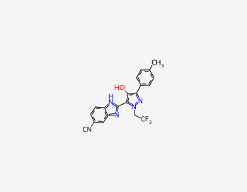 [C-]#[N+]c1ccc2[nH]c(-c3c(O)c(-c4ccc(C)cc4)nn3CC(F)(F)F)nc2c1